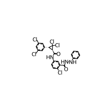 O=C(NNc1ccccc1)c1cc(NC(=O)[C@H]2[C@H](c3cc(Cl)cc(Cl)c3)C2(Cl)Cl)ccc1Cl